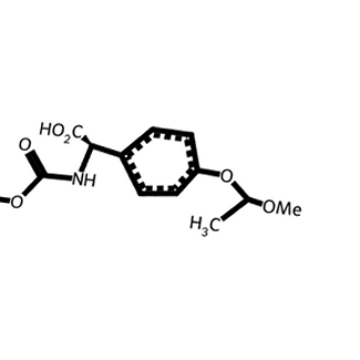 COC(C)Oc1ccc([C@@H](NC(=O)OC(C)(C)C)C(=O)O)cc1